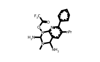 CCCc1cc2c(nc1-c1ccccc1)N(OC(=O)C(F)(F)F)C(N)N(C)C2N